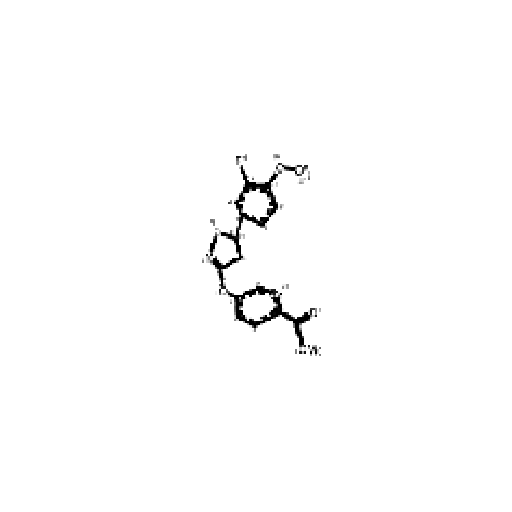 COC(=O)c1ccc(OC2=NO[C@@H](c3ccc(OC(F)(F)F)c(F)c3)C2)cn1